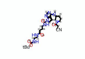 C[C@@H]1CCN(C(=O)CC#N)C[C@@H]1N(C)c1ncnc2c1ccn2C(=O)NCCCC(=O)NCCNC(=O)OC(C)(C)C